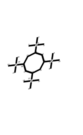 CS(C)(C)C1CC(S(C)(C)C)CC(S(C)(C)C)CC(S(C)(C)C)C1